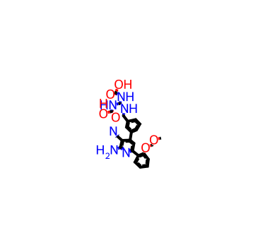 COCOc1ccccc1-c1cc(-c2cccc(CNC(NC(=O)O)NC(=O)O)c2)c(C#N)c(N)n1